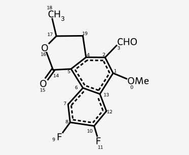 COc1c(C=O)c2c(c3cc(F)c(F)cc13)C(=O)OC(C)C2